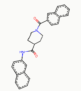 O=C(Nc1[c]cc2ccccc2c1)C1CCN(C(=O)c2ccc3ccccc3c2)CC1